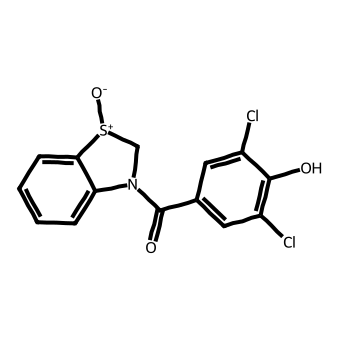 O=C(c1cc(Cl)c(O)c(Cl)c1)N1C[S+]([O-])c2ccccc21